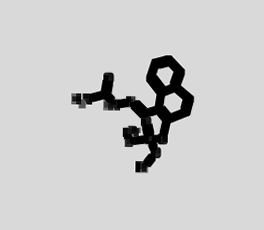 CCCSP(=O)(OCC)Oc1ccc2ccccc2c1C=NNC(N)=O